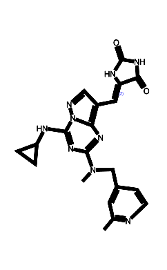 Cc1cc(CN(C)c2nc(NC3CC3)n3ncc(/C=C4\NC(=O)NC4=O)c3n2)ccn1